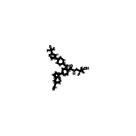 CC(C)(O)[C@H](F)CNC(=O)c1cnc(-c2ccc3cc(C#N)cnn23)cc1NC1CCC(c2cnn(C(F)(F)F)c2)CC1